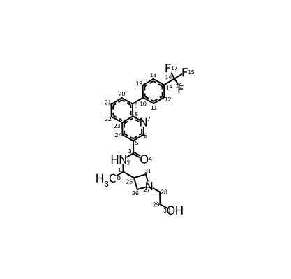 CC(NC(=O)c1cnc2c(-c3ccc(C(F)(F)F)cc3)cccc2c1)C1CN(CCO)C1